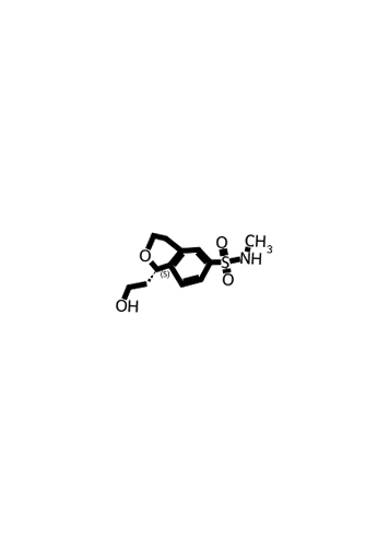 CNS(=O)(=O)c1ccc2c(c1)CCO[C@H]2CCO